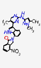 Cc1cnc(Nc2cc(C)n(C)n2)nc1-c1c[nH]c2c(N3Cc4c(cccc4[N+](=O)[O-])C3=O)cccc12